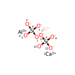 [Al+3].[B+3].[Ca+2].[O-][Si]([O-])([O-])[O-].[O-][Si]([O-])([O-])[O-]